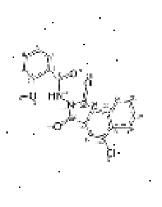 COc1ccccc1C(=O)NN1C(=O)c2cc(Cl)c3ccccc3c2C1=O